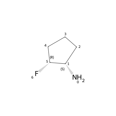 N[C@H]1CCC[C@H]1F